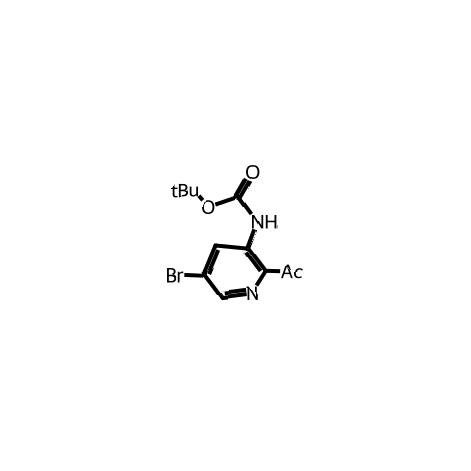 CC(=O)c1ncc(Br)cc1NC(=O)OC(C)(C)C